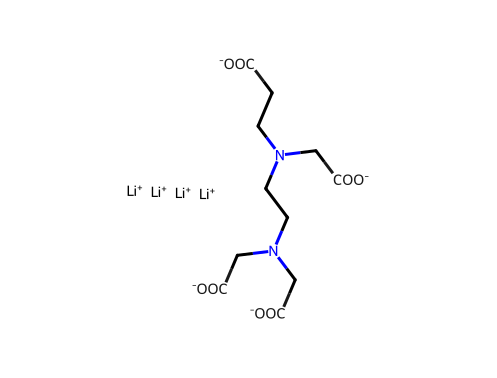 O=C([O-])CCN(CCN(CC(=O)[O-])CC(=O)[O-])CC(=O)[O-].[Li+].[Li+].[Li+].[Li+]